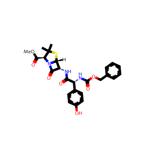 [CH2]OC(=O)[C@@H]1N2C(=O)[C@@H](NC(=O)[C@H](NC(=O)OCc3ccccc3)c3ccc(O)cc3)[C@H]2SC1(C)C